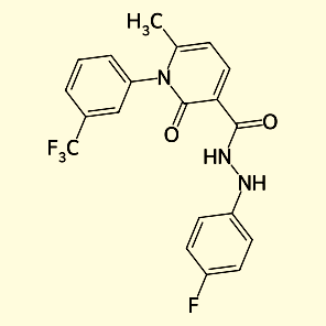 Cc1ccc(C(=O)NNc2ccc(F)cc2)c(=O)n1-c1cccc(C(F)(F)F)c1